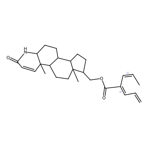 C=C/C=C(\C=C/C)C(=O)OCC1CCC2C3CCC4NC(=O)C=CC4(C)C3CCC12C